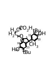 C=COC(=O)CC(C)(c1ccc(O)c(C(C)(C)C)c1)c1ccc(O)c(C(C)(C)C)c1.CC(=O)O